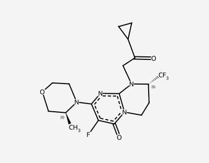 C[C@H]1COCCN1c1nc2n(c(=O)c1F)CC[C@@H](C(F)(F)F)N2CC(=O)C1CC1